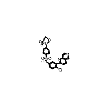 O=S(=O)(Nc1ccc(Cl)c(-c2ccc3cnccc3n2)c1)c1ccc(N2COCCS2(=O)=O)cc1